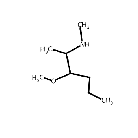 CCCC(OC)C(C)NC